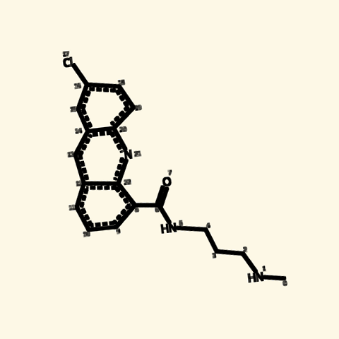 CNCCCNC(=O)c1cccc2cc3cc(Cl)ccc3nc12